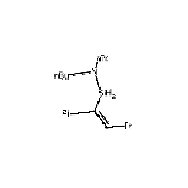 CCC=C(CC)[SiH2]N(CCC)CCCC